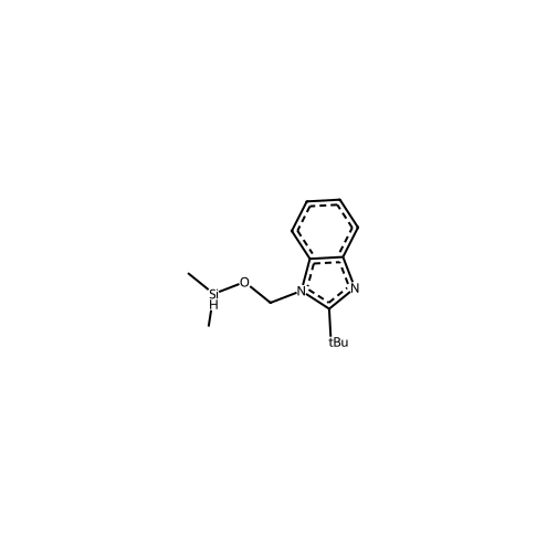 C[SiH](C)OCn1c(C(C)(C)C)nc2ccccc21